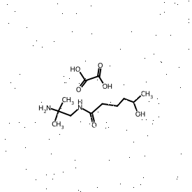 CC(O)CCCC(=O)NCC(C)(C)N.O=C(O)C(=O)O